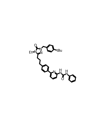 CCn1c(CCCc2ccc(-c3cccc(NC(=O)Nc4ccccc4)n3)cc2)nn(Cc2ccc(C(C)(C)C)cc2)c1=O